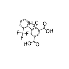 Cc1c(C(=O)O)cc(C(=O)O)cc1-c1ccccc1C(F)(F)F